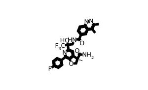 Cc1nnc2ccc(C(=O)NCC(O)(c3cc4c(c(-c5ccc(F)cc5)n3)OC[C@]4(C)C(N)=O)C(F)(F)F)cc2c1C